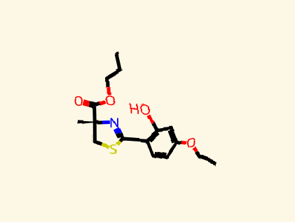 CCCOC(=O)[C@@]1(C)CSC(c2ccc(OCC)cc2O)=N1